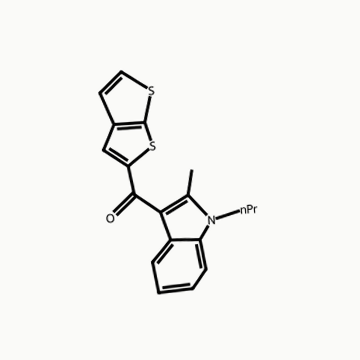 CCCn1c(C)c(C(=O)c2cc3ccsc3s2)c2ccccc21